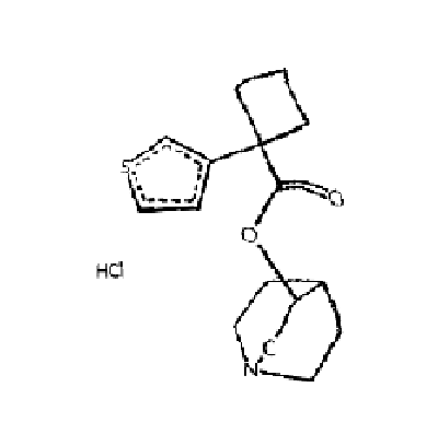 Cl.O=C(OC1CN2CCC1CC2)C1(c2ccsc2)CCC1